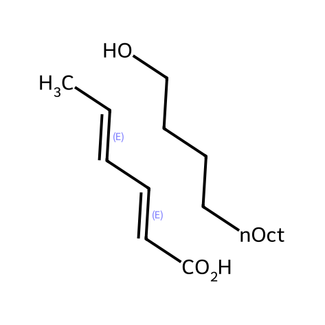 C/C=C/C=C/C(=O)O.CCCCCCCCCCCCO